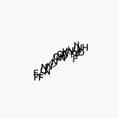 CC(Cn1ccn(CC(=O)N2CCN(c3ncc(C(F)(F)F)cn3)CC2)c1=O)Nc1cn[nH]c(=O)c1C(F)(F)F